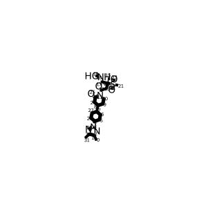 Cc1nn(-c2ccc(-c3ccn(CC[C@](C)(C(=O)NO)S(C)(=O)=O)c(=O)c3)cc2)nc1C